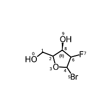 OCC1OC(Br)C(F)[C@@H]1O